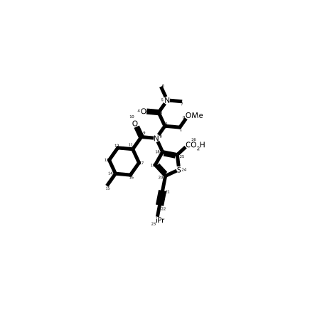 COCC(C(=O)N(C)C)N(C(=O)C1CCC(C)CC1)c1cc(C#CC(C)C)sc1C(=O)O